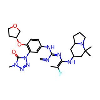 C=N/C(=N\C(NC1CC2CCCN2C(C)(C)C1)=C(/C)F)Nc1ccc(O[C@H]2CCOC2)c(-n2nnn(C)c2=O)c1